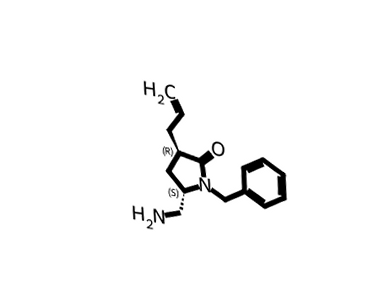 C=CC[C@@H]1C[C@@H](CN)N(Cc2ccccc2)C1=O